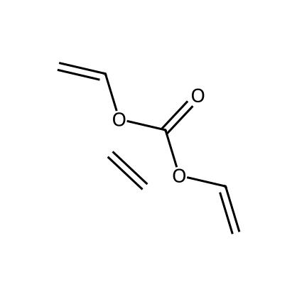 C=C.C=COC(=O)OC=C